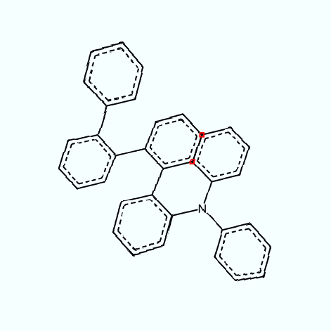 c1ccc(-c2ccccc2-c2ccccc2-c2ccccc2N(c2ccccc2)c2ccccc2)cc1